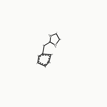 c1ccc(CC2[N]CCO2)cc1